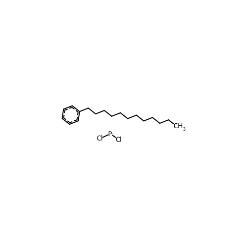 CCCCCCCCCCCCc1ccccc1.Cl[P]Cl